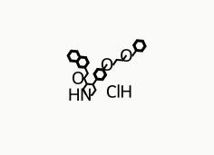 Cl.O=C(Cc1ccc2ccccc2c1)C1CNCCC1c1ccc(OCCCOCc2ccccc2)cc1